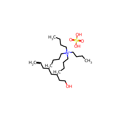 C=CCCCCCCO.CCCC[N+](CCCC)(CCCC)CCCC.O=S(=O)(O)O